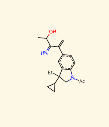 C=C(C(=N)C(C)O)c1ccc2c(c1)C(CC)(C1CC1)CN2C(C)=O